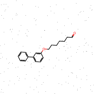 O=CCCCCCCOc1cccc(-c2ccccc2)c1